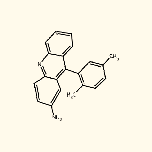 Cc1ccc(C)c(-c2c3ccccc3nc3ccc(N)cc23)c1